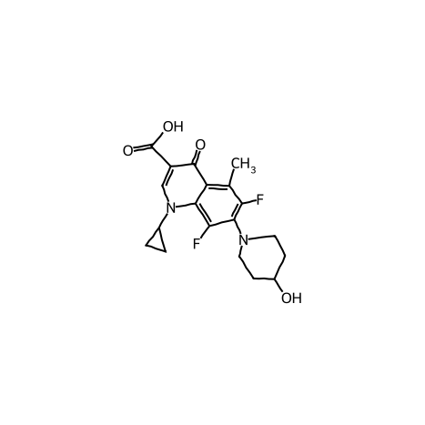 Cc1c(F)c(N2CCC(O)CC2)c(F)c2c1c(=O)c(C(=O)O)cn2C1CC1